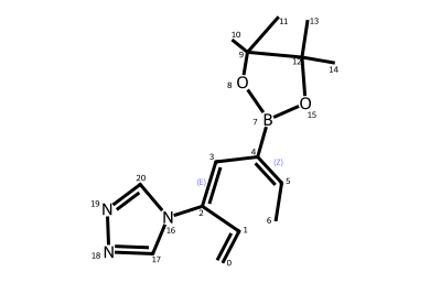 C=C/C(=C\C(=C/C)B1OC(C)(C)C(C)(C)O1)n1cnnc1